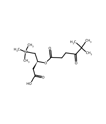 CC(C)(C)C(=O)CCC(=O)O[C@@H](CC(=O)O)C[N+](C)(C)C